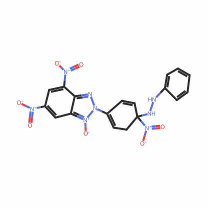 O=[N+]([O-])c1cc([N+](=O)[O-])c2nn(C3=CCC(NNc4ccccc4)([N+](=O)[O-])C=C3)[n+]([O-])c2c1